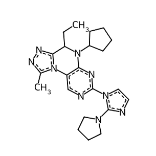 CCC1c2nnc(C)n2-c2cnc(-n3ccnc3N3CCCC3)nc2N1C1CCCC1